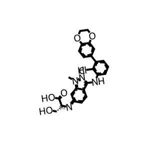 Cn1[nH]c(Nc2cccc(-c3ccc4c(c3)OCCO4)c2Cl)c2ccc(=N[C@H](CO)C(=O)O)cc1-2